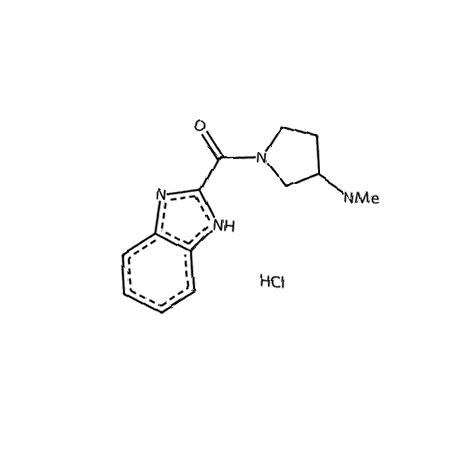 CNC1CCN(C(=O)c2nc3ccccc3[nH]2)C1.Cl